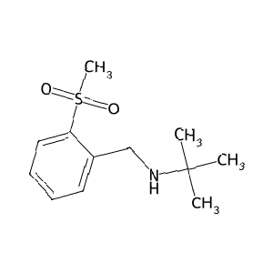 CC(C)(C)NCc1ccccc1S(C)(=O)=O